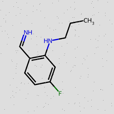 CCCNc1cc(F)ccc1C=N